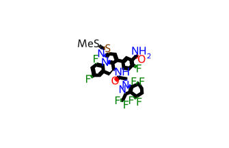 CSc1nc2nc([C@H](Cc3cc(F)cc(F)c3)NC(=O)Cn3nc(C(F)F)c4c3C(F)(F)CCC4(F)F)c(-c3ccc(F)c(C(N)=O)c3)cc2s1